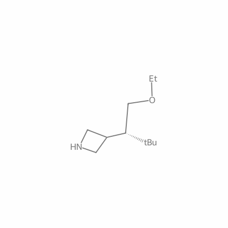 CCOC[C@@H](C1CNC1)C(C)(C)C